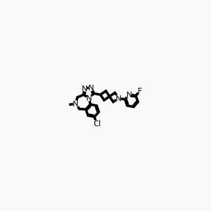 CN1Cc2cc(Cl)ccc2-n2c(nnc2C2CC3(C2)CN(c2cccc(F)n2)C3)C1